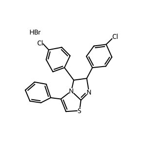 Br.Clc1ccc(C2N=C3SC=C(c4ccccc4)N3C2c2ccc(Cl)cc2)cc1